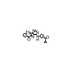 CCn1c(C(=O)N2CCCC2)nc2c(NC3CCN(C(=O)C4CC4)C3)ncnc21